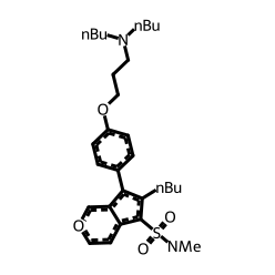 CCCCc1c(-c2ccc(OCCCN(CCCC)CCCC)cc2)c2coccc-2c1S(=O)(=O)NC